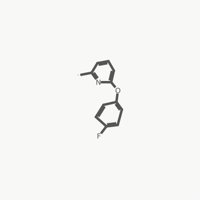 [CH2]c1cccc(Oc2ccc(F)cc2)n1